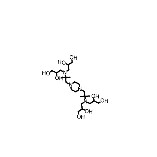 CC(C)(CN1CCN(CC(C)(C)N(CC(O)CO)CC(O)CO)CC1)N(CC(O)CO)CC(O)CO